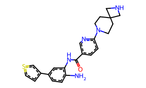 Nc1ccc(-c2ccsc2)cc1NC(=O)c1ccc(N2CCC3(CC2)CNC3)nc1